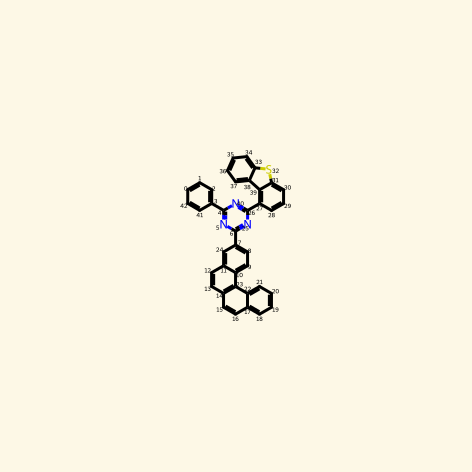 c1ccc(-c2nc(-c3ccc4c(ccc5ccc6ccccc6c54)c3)nc(-c3cccc4sc5ccccc5c34)n2)cc1